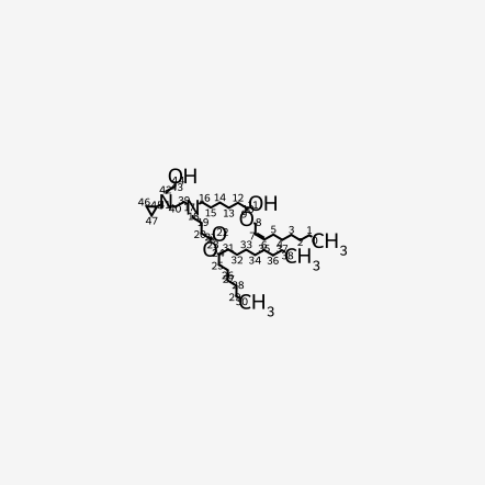 CCCCCC/C=C\COC(O)CCCCCN(CCCC(=O)OC(CCCCCC)CCCCCCCC)CCN(CCO)C1CC1